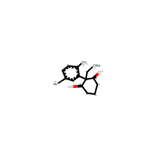 COCC1(c2cc(C#N)ccc2C)C(=O)CCCC1=O